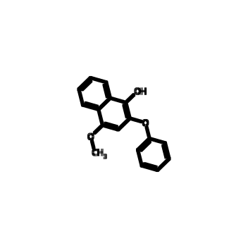 COc1cc(Oc2ccccc2)c(O)c2ccccc12